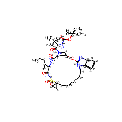 CC[C@@H]1C[C@@]12NC(=O)[C@@H]1CC(CN1C(=O)C(NC(=O)OC(C)(C)C)C(C)(C)C)Oc1nc3ccccc3n1CCCCCCC1(CC1)S(=O)(=O)NC2=O